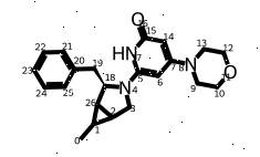 CC1C2CN(c3cc(N4CCOCC4)cc(=O)[nH]3)[C@H](Cc3ccccc3)C12